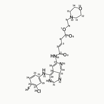 O=C(C=CCC(=O)OCCN1CCOCC1)Nc1cc2c(Nc3ccc(F)c(Cl)c3)ncnc2cn1